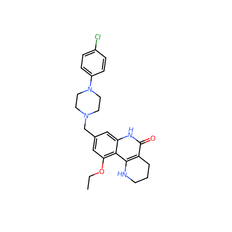 CCOc1cc(CN2CCN(c3ccc(Cl)cc3)CC2)cc2[nH]c(=O)c3c(c12)NCCC3